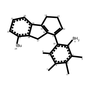 Bc1c(C)c(C)c(C)c(C)c1C1=CCCC2=C1Cc1c2cccc1C(C)(C)C